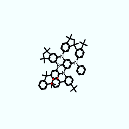 CC(C)(C)c1ccc(N(c2ccccc2)c2cc3c4c(c2)N(c2ccc(C(C)(C)C)cc2-c2ccccc2)c2cc5c(cc2B4c2cc4c(cc2N3c2ccc3c(c2)C(C)(C)CC3(C)C)C(C)(C)CC4(C)C)C(C)(C)c2ccccc2C5(C)C)cc1